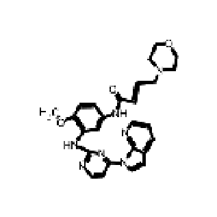 COc1ccc(NC(=O)/C=C/CN2CCOCC2)cc1Nc1nccc(-n2ccc3cccnc32)n1